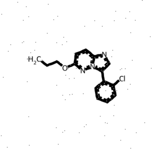 [CH2]CCOc1ccc2ncc(-c3ccccc3Cl)n2n1